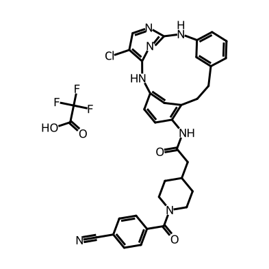 N#Cc1ccc(C(=O)N2CCC(CC(=O)Nc3ccc4cc3CCc3cccc(c3)Nc3ncc(Cl)c(n3)N4)CC2)cc1.O=C(O)C(F)(F)F